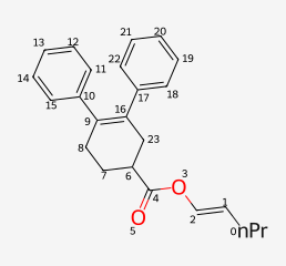 CCCC=COC(=O)C1CCC(c2ccccc2)=C(c2ccccc2)C1